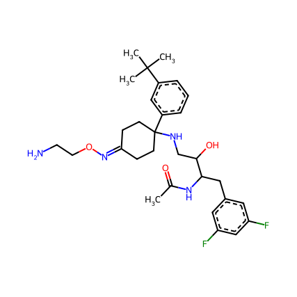 CC(=O)NC(Cc1cc(F)cc(F)c1)C(O)CNC1(c2cccc(C(C)(C)C)c2)CCC(=NOCCN)CC1